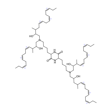 CC/C=C\C/C=C\C/C=C\CC(C)C(O)CN(CCCCC1NC(=O)C(CCCCN(CC(O)CC(C)/C=C\C/C=C\C/C=C\CC)CC(O)C(C)/C=C\C/C=C\C/C=C\CC)NC1=O)CC(O)C(C)/C=C\C/C=C\C/C=C\CC